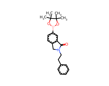 CC1(C)OB(c2ccc3c(c2)C(=O)N(CCc2ccccc2)C3)OC1(C)C